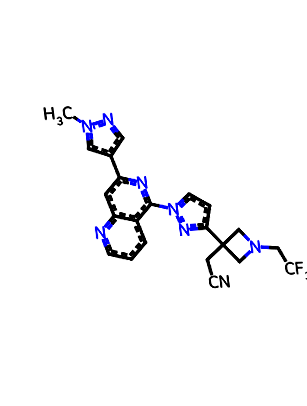 Cn1cc(-c2cc3ncccc3c(-n3ccc(C4(CC#N)CN(CC(F)(F)F)C4)n3)n2)cn1